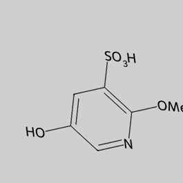 COc1ncc(O)cc1S(=O)(=O)O